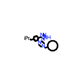 CC(C)Cc1ccc(-c2nn[nH]n2)c(N2CCN(CC3CCCCCCCCCCC3)CC2)c1